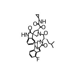 CC(C)CC[C@@H](C(=O)N1C[C@]2(C[C@H]1C(=O)C(=O)NC1CC1)C(=O)Nc1ccccc12)N(C)C(=O)c1cc2c(F)cccc2[nH]1